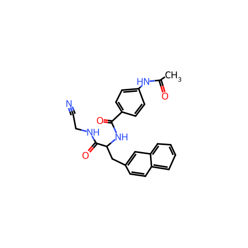 CC(=O)Nc1ccc(C(=O)NC(Cc2ccc3ccccc3c2)C(=O)NCC#N)cc1